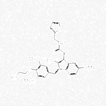 COc1ccc2c(c1)C(CC(=O)NCc1ccco1)=C(C)C2=Cc1cc(OC)c(OCCO)c(OC)c1